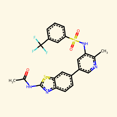 CC(=O)Nc1nc2ccc(-c3cnc(C)c(NS(=O)(=O)c4cccc(C(F)(F)F)c4)c3)cc2s1